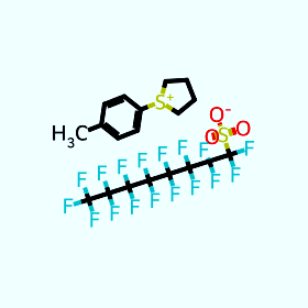 Cc1ccc([S+]2CCCC2)cc1.O=S(=O)([O-])C(F)(F)C(F)(F)C(F)(F)C(F)(F)C(F)(F)C(F)(F)C(F)(F)C(F)(F)F